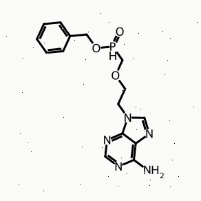 Nc1ncnc2c1ncn2CCOC[PH](=O)OCc1ccccc1